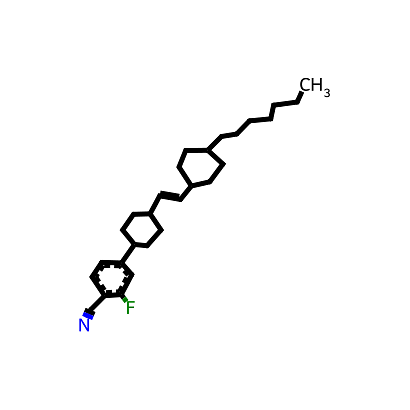 CCCCCCCC1CCC(C=CC2CCC(c3ccc(C#N)c(F)c3)CC2)CC1